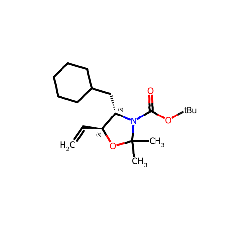 C=C[C@@H]1OC(C)(C)N(C(=O)OC(C)(C)C)[C@H]1CC1CCCCC1